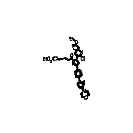 CCOC(=O)CCCC(=O)N1N=C(c2ccc(-c3ccc(N4CCOCC4)cc3)cc2)CC1c1cc2ccc(OCC)cc2nc1Cl